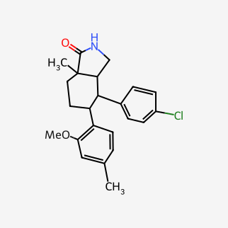 COc1cc(C)ccc1C1CCC2(C)C(=O)NCC2C1c1ccc(Cl)cc1